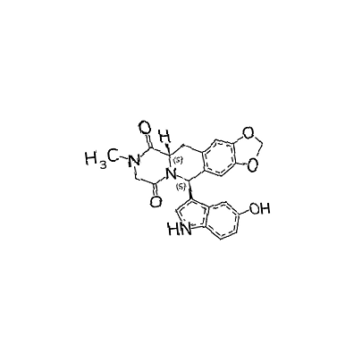 CN1CC(=O)N2[C@H](c3c[nH]c4ccc(O)cc34)c3cc4c(cc3C[C@H]2C1=O)OCO4